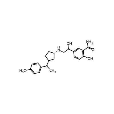 Cc1ccc(N(C)[C@H]2CC[C@H](NCC(O)c3ccc(O)c(C(N)=O)c3)C2)cc1